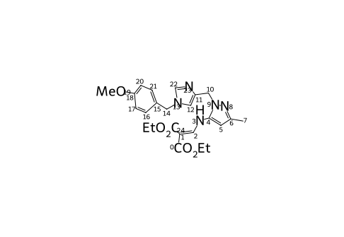 CCOC(=O)C(=CNc1cc(C)nn1Cc1cn(Cc2ccc(OC)cc2)cn1)C(=O)OCC